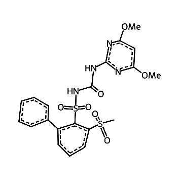 COc1cc(OC)nc(NC(=O)NS(=O)(=O)c2c(-c3ccccc3)cccc2S(C)(=O)=O)n1